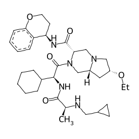 CCO[C@@H]1C[C@@H]2CN(C(=O)[C@@H](NC(=O)[C@H](C)NCC3CC3)C3CCCCC3)[C@H](C(=O)N[C@@H]3CCOc4ccccc43)CN2C1